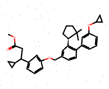 COC(=O)CC(c1cccc(OCc2ccc(-c3cccc(OC4CC4)c3)c([C@H]3CCCC3(C)C)c2)c1)C1CC1